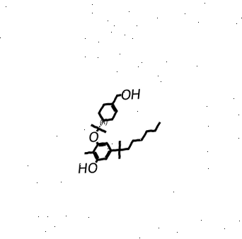 CCCCCCC(C)(C)c1cc(O)c(C)c(OC(C)(C)[C@H]2CC=C(CO)CC2)c1